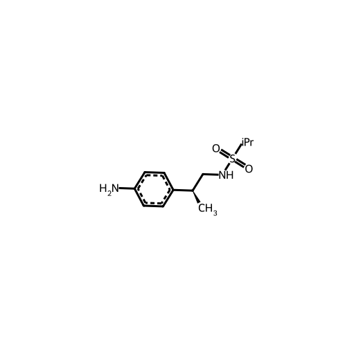 CC(C)S(=O)(=O)NC[C@@H](C)c1ccc(N)cc1